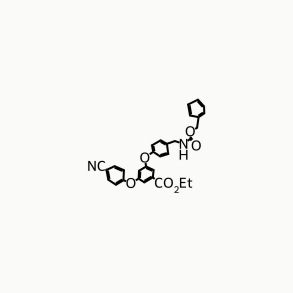 CCOC(=O)c1cc(Oc2ccc(C#N)cc2)cc(Oc2ccc(CNC(=O)OCc3ccccc3)cc2)c1